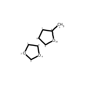 C1COCO1.CC1CCCO1